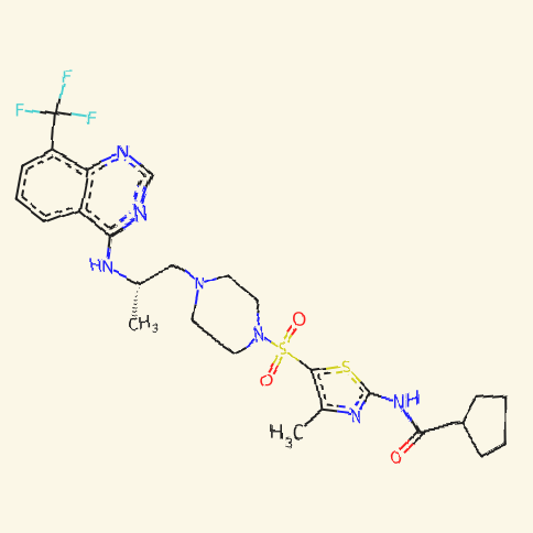 Cc1nc(NC(=O)C2CCCC2)sc1S(=O)(=O)N1CCN(C[C@H](C)Nc2ncnc3c(C(F)(F)F)cccc23)CC1